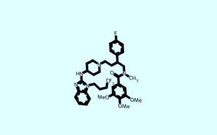 COc1cc(C(=O)N(C)CC(CCN2CCC(Nc3nc4ccccc4n3CCCC(F)(F)F)CC2)c2ccc(F)cc2)cc(OC)c1OC